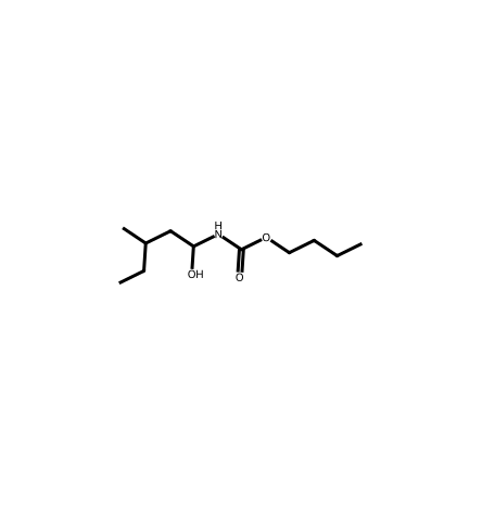 CCCCOC(=O)NC(O)CC(C)CC